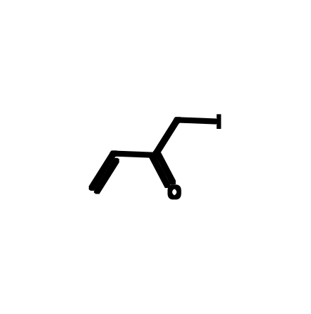 C=CC(=O)CI